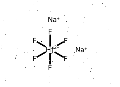 [F][Hf-2]([F])([F])([F])([F])[F].[Na+].[Na+]